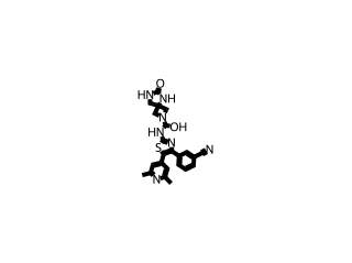 Cc1cc(-c2sc(NC(O)N3CC4(CNC(=O)N4)C3)nc2-c2cccc(C#N)c2)cc(C)n1